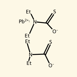 CCN(CC)C([O-])=S.CCN(CC)C([O-])=S.[Pb+2]